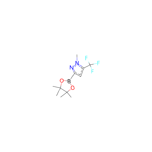 Cn1nc(B2OC(C)(C)C(C)(C)O2)cc1C(F)(F)F